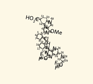 COc1nc(-c2cccc(-c3cccc(Nc4nc(OC(F)F)nc5cc(CN6CC[C@@H](OC(F)F)C6)cnc45)c3C)c2Cl)cnc1CN(C)C1CCC(C(=O)O)CC1